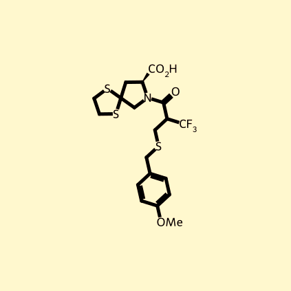 COc1ccc(CSCC(C(=O)N2CC3(C[C@H]2C(=O)O)SCCS3)C(F)(F)F)cc1